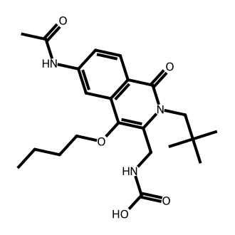 CCCCOc1c(CNC(=O)O)n(CC(C)(C)C)c(=O)c2ccc(NC(C)=O)cc12